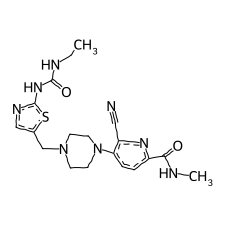 CCNC(=O)Nc1ncc(CN2CCN(c3ccc(C(=O)NC)nc3C#N)CC2)s1